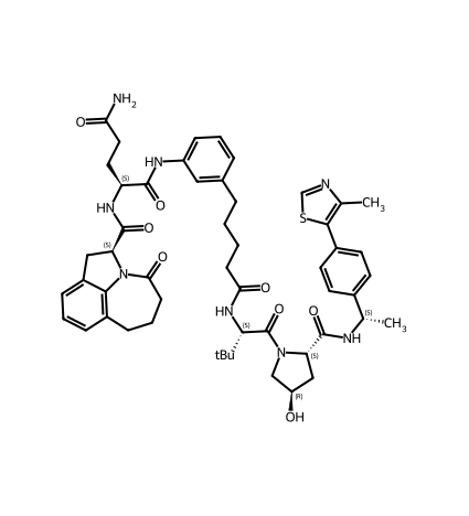 Cc1ncsc1-c1ccc([C@H](C)NC(=O)[C@@H]2C[C@@H](O)CN2C(=O)[C@@H](NC(=O)CCCCc2cccc(NC(=O)[C@H](CCC(N)=O)NC(=O)[C@@H]3Cc4cccc5c4N3C(=O)CCC5)c2)C(C)(C)C)cc1